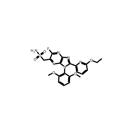 CCOc1cccc(-c2nc3nc(F)c(CS(N)(=O)=O)nc3n2-c2c(OC)cccc2OC)n1